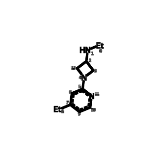 CCNC1CN(c2cc(CC)ccn2)C1